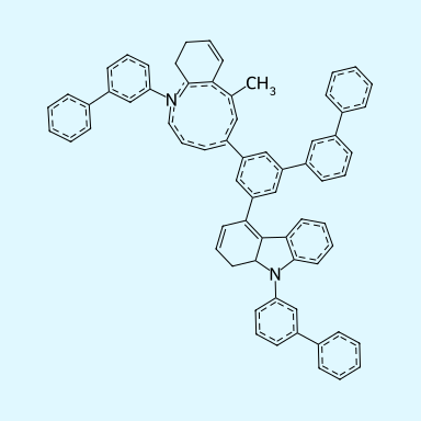 Cc1cc(-c2cc(C3=C4c5ccccc5N(c5cccc(-c6ccccc6)c5)C4CC=C3)cc(-c3cccc(-c4ccccc4)c3)c2)cccn(-c2cccc(-c3ccccc3)c2)c2c1C=CCC2